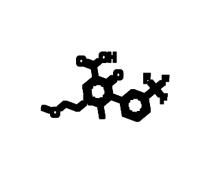 COCCn1cc(C(=O)O)c(=O)c(-c2cccc(C(F)(F)F)c2)c1C